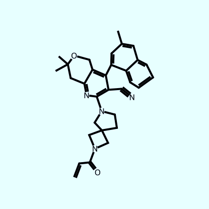 C=CC(=O)N1CC2(CCN(c3nc4c(c(-c5cc(C)cc6ccccc56)c3C#N)COC(C)(C)C4)C2)C1